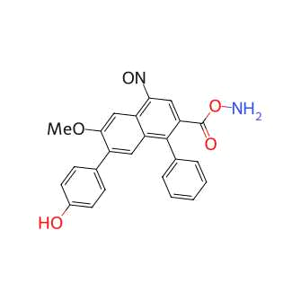 COc1cc2c(N=O)cc(C(=O)ON)c(-c3ccccc3)c2cc1-c1ccc(O)cc1